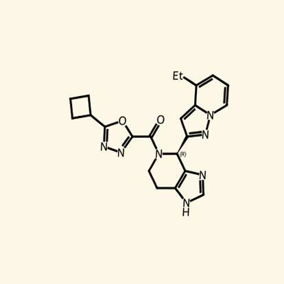 CCc1cccn2nc([C@H]3c4nc[nH]c4CCN3C(=O)c3nnc(C4CCC4)o3)cc12